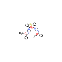 CCOC(CN1CCN(C(=O)c2ccccc2SSc2ccccc2C(=O)N2CCN(CC(OCC)c3ccccc3)CC2)CC1)c1ccccc1